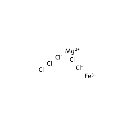 [Cl-].[Cl-].[Cl-].[Cl-].[Cl-].[Fe+3].[Mg+2]